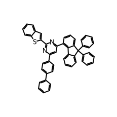 c1ccc(-c2ccc(-c3cc(-c4cccc5c4-c4ccccc4C5(c4ccccc4)c4ccccc4)nc(-c4cc5ccccc5s4)n3)cc2)cc1